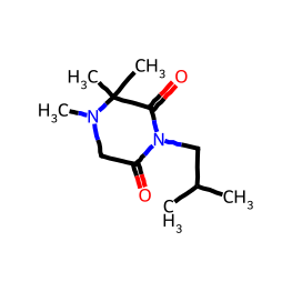 CC(C)CN1C(=O)CN(C)C(C)(C)C1=O